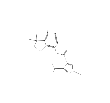 Cn1cc(C(=O)Nc2ccc(F)c3c2CCC3(C)C)c(C(F)F)n1